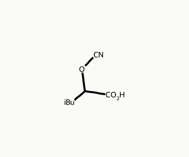 CCC(C)C(OC#N)C(=O)O